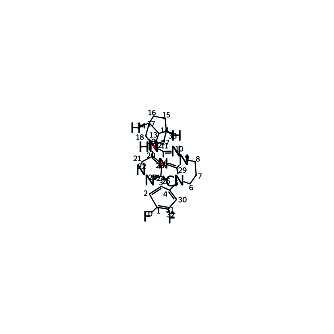 Fc1ccc(N2CCCn3nc(NC4[C@@H]5CC[C@H]4CN(c4cnnc(Cl)c4)C5)nc32)cc1F